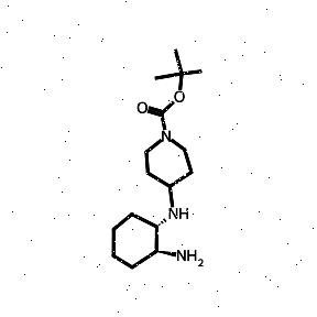 CC(C)(C)OC(=O)N1CCC(N[C@H]2CCCC[C@@H]2N)CC1